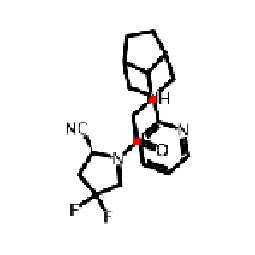 N#C[C@@H]1CC(F)(F)CN1C(=O)CNC1C2CCC1CN(c1ncccn1)C2